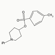 Cc1ccc(S(=O)(=O)OC2CCN(C(C)C)CC2)cc1